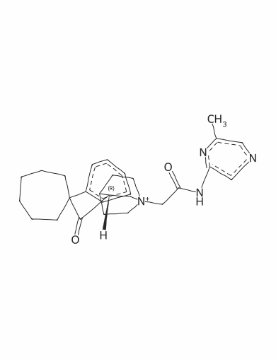 Cc1cncc(NC(=O)C[N+]23CCC(CC2)[C@@H](C(=O)C2(c4ccccc4)CCCCCC2)C3)n1